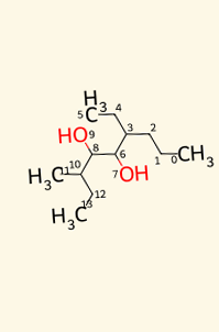 CCCC(CC)C(O)C(O)C(C)CC